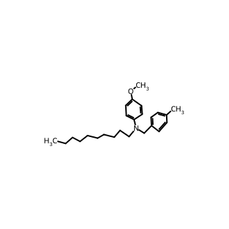 CCCCCCCCCCN(Cc1ccc(C)cc1)c1ccc(OC)cc1